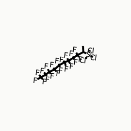 CC(C(F)(F)C(F)(F)C(F)(F)C(F)(F)C(F)(F)C(F)(F)C(F)(F)C(F)(F)C(F)(F)F)[Si](Cl)(Cl)Cl